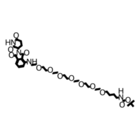 CC(C)(C)OC(=O)NCCCCOCCOCCOCCOCCOCCOCCOCCNc1cccc2c1C(=O)N(C1CCC(=O)NC1=O)C2=O